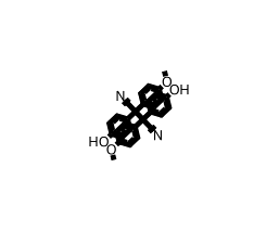 COc1ccc(C(C#N)(c2ccc(O)cc2)C(C#N)(c2ccc(O)cc2)c2ccc(OC)cc2)cc1